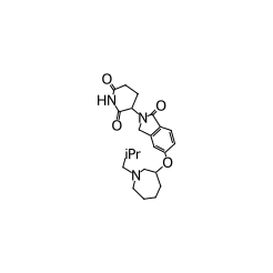 CC(C)CN1CCCCC(Oc2ccc3c(c2)CN(C2CCC(=O)NC2=O)C3=O)C1